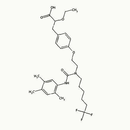 CCOC(Cc1ccc(OCCN(CCCCCC(F)(F)F)C(=O)Nc2cc(C)c(C)cc2C)cc1)C(=O)O